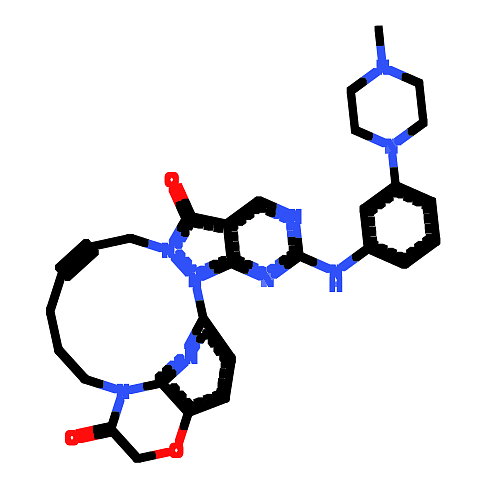 CN1CCN(c2cccc(Nc3ncc4c(=O)n5n(c4n3)-c3ccc4c(n3)N(CCCC#CC5)C(=O)CO4)c2)CC1